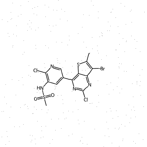 Cc1sc2c(-c3cnc(Cl)c(NS(C)(=O)=O)c3)nc(Cl)nc2c1Br